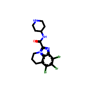 O=C(NC1CCNCC1)c1nc2c(Br)c(Br)c(Br)c3c2n1CCC3